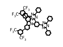 FC(F)(F)c1cc(-c2ccc3c(c2)c2cc(-c4cc(C(F)(F)F)cc(C(F)(F)F)c4)ccc2n3-c2ccc(-c3nc(-c4ccccc4)nc(-c4ccccc4)n3)cc2-c2nc(-c3ccccc3)nc(-c3ccccc3)n2)cc(C(F)(F)F)c1